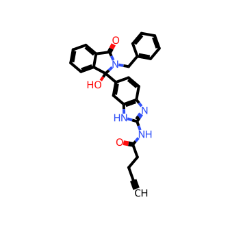 C#CCCC(=O)Nc1nc2ccc(C3(O)c4ccccc4C(=O)N3Cc3ccccc3)cc2[nH]1